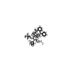 Cc1nocc1[C@H](C(N)=O)[C@@H](CCC(F)(F)F)C(=O)N[C@H]1N=C(c2ccccc2)c2ccccc2N(C)C1=O